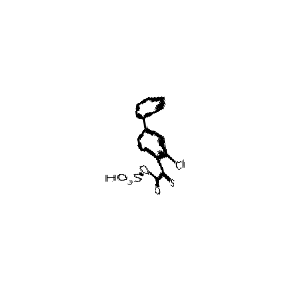 O=C(OS(=O)(=O)O)C(=S)c1ccc(-c2ccccc2)cc1Cl